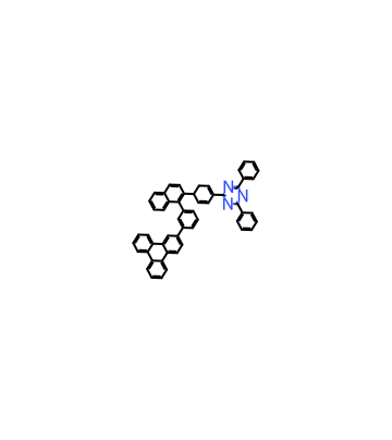 C1=CC(c2ccc3ccccc3c2-c2cccc(-c3ccc4c5ccccc5c5ccccc5c4c3)c2)CC=C1c1nc(-c2ccccc2)nc(-c2ccccc2)n1